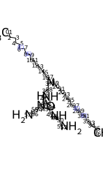 CCCCC/C=C/C/C=C/CCCCCCCCN(CCCCCCCC/C=C/C/C=C/CCCCC)CCCNCC(C=O)(CCCNCCCN)NCCCN